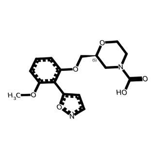 COc1cccc(OC[C@@H]2CN(C(=O)O)CCO2)c1-c1ccno1